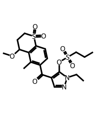 CCCS(=O)(=O)Oc1c(C(=O)c2ccc3c(c2C)C(OC)CCS3(=O)=O)cnn1CC